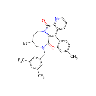 CCC1CCn2c(c(-c3ccc(C)cc3)c3cccnc3c2=O)C(=O)N(Cc2cc(C(F)(F)F)cc(C(F)(F)F)c2)C1